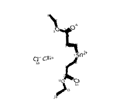 CCOC(=O)C[CH2][Sn+2][CH2]CC(=O)OCC.[Cl-].[Cl-]